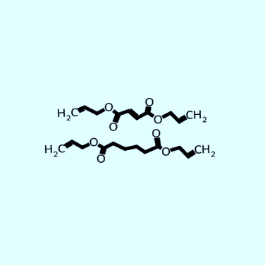 C=CCOC(=O)C=CC(=O)OCC=C.C=CCOC(=O)CCCCC(=O)OCC=C